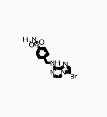 NS(=O)(=O)c1ccc(CNc2nccn3c(Br)cnc23)cc1